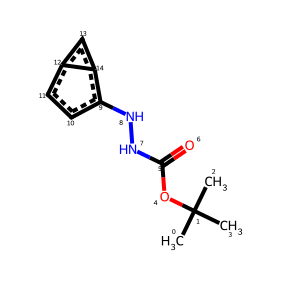 CC(C)(C)OC(=O)NNc1ccc2cc1-2